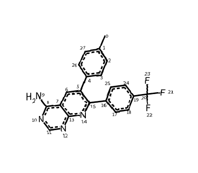 Cc1ccc(-c2cc3c(N)ncnc3nc2-c2ccc(C(F)(F)F)cc2)cc1